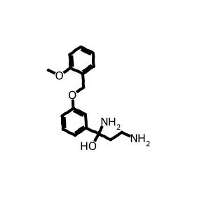 COc1ccccc1COc1cccc(C(N)(O)CCN)c1